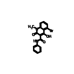 Cn1c(=O)c(C(=O)Nc2ccccc2)c(O)c2c(Br)cccc21